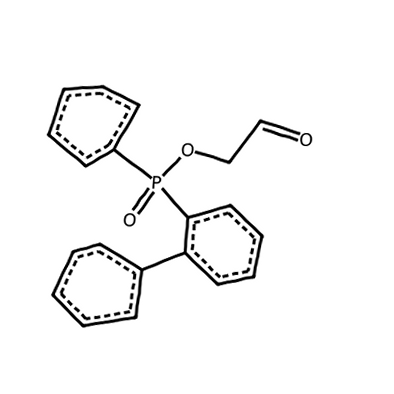 O=CCOP(=O)(c1ccccc1)c1ccccc1-c1ccccc1